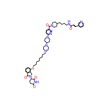 O=C(/C=C/c1cccnc1)NCCCCC1CCN(C(=O)c2ccc(N3CCC(N4CCN(CCCCCCCCSc5cccc6c5CN(C5CCC(=O)NC5=O)C6=O)CC4)CC3)nn2)CC1